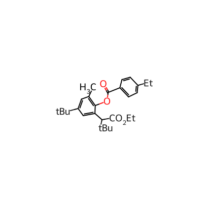 CCOC(=O)C(c1cc(C(C)(C)C)cc(C)c1OC(=O)c1ccc(CC)cc1)C(C)(C)C